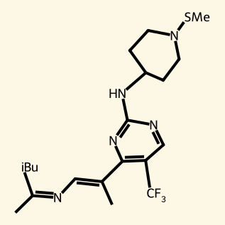 CCC(C)/C(C)=N\C=C(/C)c1nc(NC2CCN(SC)CC2)ncc1C(F)(F)F